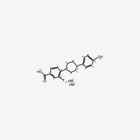 Br.Br.O=C(O)c1ccc(N2CCN(c3ccc(O)cc3)CC2)c(F)c1